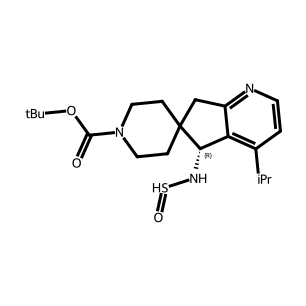 CC(C)c1ccnc2c1[C@H](N[SH]=O)C1(CCN(C(=O)OC(C)(C)C)CC1)C2